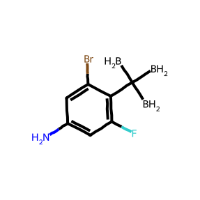 BC(B)(B)c1c(F)cc(N)cc1Br